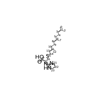 CC(C)=CCC/C(C)=C/CC/C(C)=C/CSC[C@H](Nc1ncccn1)C(=O)O